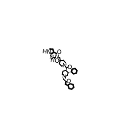 O=C([C@@H]1CCN(Cc2cc3ccccc3o2)C[C@H]1c1ccccc1)N1CCC(O)(Cn2cnc3[nH]ccc3c2=O)CC1